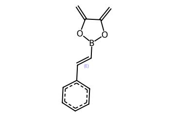 C=C1OB(/C=C/c2ccccc2)OC1=C